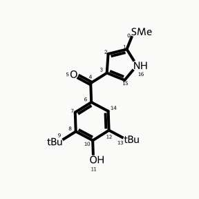 CSc1cc(C(=O)c2cc(C(C)(C)C)c(O)c(C(C)(C)C)c2)c[nH]1